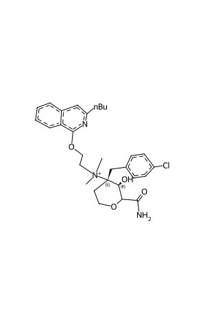 CCCCc1cc2ccccc2c(OCC[N+](C)(C)[C@@]2(Cc3ccc(Cl)cc3)CCOC(C(N)=O)[C@@H]2O)n1